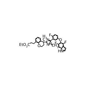 CCOC(=O)CCc1cccc2c1OCC[C@]2(C)c1nc(-c2cc(Oc3c(F)cc4[nH]ccc4c3F)ccc2F)n(C)n1